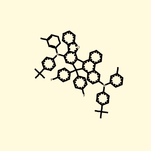 CC1=CCCC(N(c2ccc(C(C)(C)C)cc2)c2cc3c(c4oc5ccccc5c24)-c2c(c4ccc(N(c5ccc(C(C)(C)C)cc5)c5cccc(C)c5)cc4c4ccccc24)C3(c2ccc(F)cc2)c2ccc(F)cc2)=C1